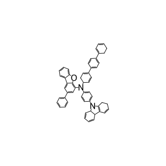 C1=CCCC(c2ccc(C3=CCC(N(c4ccc(N5C6=C(C=CCC6)C6C=CC=CC65)cc4)c4cc(-c5ccccc5)cc5c4oc4ccccc45)C=C3)cc2)=C1